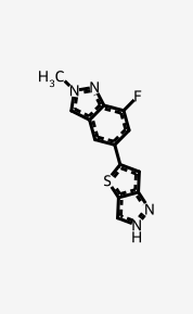 Cn1cc2cc(-c3cc4n[nH]cc4s3)cc(F)c2n1